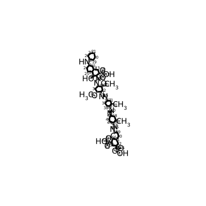 COc1cc(N=Nc2c(S(=O)(=O)O)cc3cc(Nc4ccccc4)ccc3c2O)c(OC)cc1N=Nc1ccc(N=Nc2ccc(N=Nc3ccc4cc(S(=O)(=O)O)cc(S(=O)(=O)O)c4c3)c(C)c2)c(C)c1